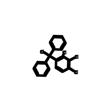 Clc1ccc(C(Cl)(c2ccccc2)c2ccccc2)c(Cl)c1Cl